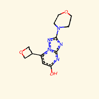 Oc1cc(C2COC2)n2nc(N3CCOCC3)nc2n1